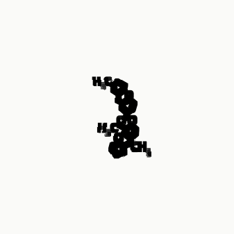 Cc1ccc2c(c1)Cc1cc(C(=O)OC(C)c3cccc4c3Oc3ccccc3C4C)ccc1O2